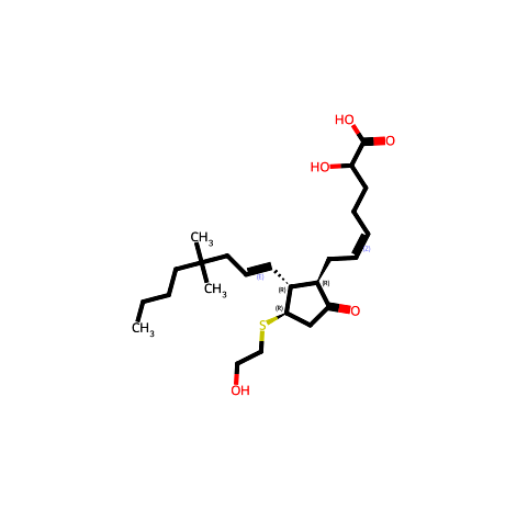 CCCCC(C)(C)C/C=C/[C@H]1[C@H](SCCO)CC(=O)[C@@H]1C/C=C\CCC(O)C(=O)O